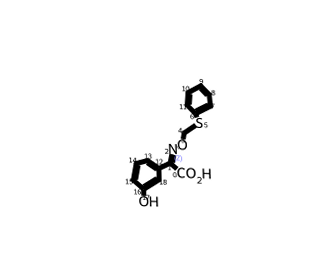 O=C(O)/C(=N\OCSc1ccccc1)c1cccc(O)c1